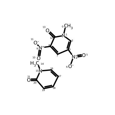 Cn1cc([N+](=O)[O-])cc([N+](=O)[O-])c1=O.Cn1ccccc1=O